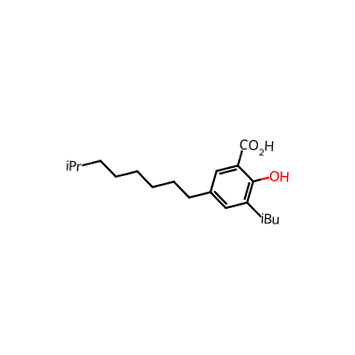 CCC(C)c1cc(CCCCCCC(C)C)cc(C(=O)O)c1O